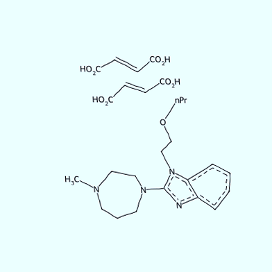 CCCOCCn1c(N2CCCN(C)CC2)nc2ccccc21.O=C(O)C=CC(=O)O.O=C(O)C=CC(=O)O